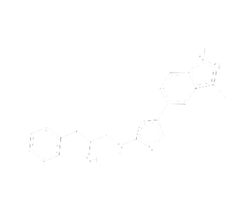 Cc1n[nH]c2ccc(-c3cnc(NCC(N)Cc4ccccc4)s3)cc12